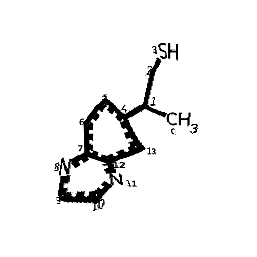 CC(CS)c1ccc2nccnc2c1